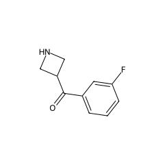 O=C(c1cccc(F)c1)C1CNC1